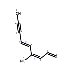 C=C/C=C(C#N)\C=C\C#CC#N